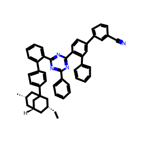 CC[C@@H]1C[C@@H]2C[C@H](C)CC(c3ccc(-c4ccccc4-c4nc(-c5ccccc5)nc(-c5ccc(-c6cccc(C#N)c6)cc5-c5ccccc5)n4)cc3)(C1)C2